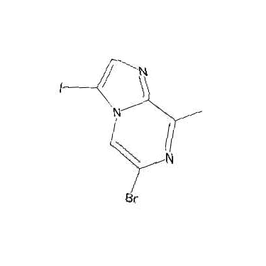 Cc1nc(Br)cn2c(I)cnc12